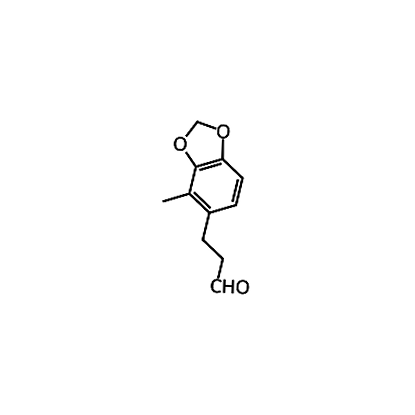 Cc1c(CCC=O)ccc2c1OCO2